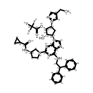 CCc1cnn([C@H]2C[C@@H](n3cnc4c(NCC(c5ccccc5)c5ccccc5)nc(N5CC[C@@H](NC(=O)C6CC6)C5)nc43)[C@H](O)[C@@H]2OC(=O)C(F)(F)F)c1